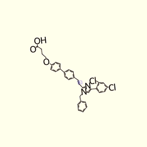 O=C(O)CCCOc1ccc(-c2ccc(/C=C/c3nc(-c4ccc(Cl)cc4Cl)cn3Cc3ccccc3)cc2)cc1